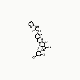 Cc1cc(Cc2nc3c(c(C(C)C)nn3-c3c(Cl)cc(Cl)cc3Cl)c(=O)[nH]2)ccc1NC(=O)Nc1ccccn1